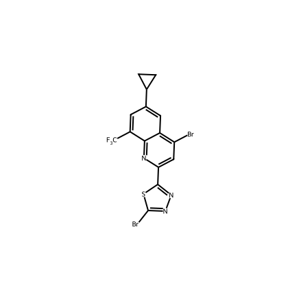 FC(F)(F)c1cc(C2CC2)cc2c(Br)cc(-c3nnc(Br)s3)nc12